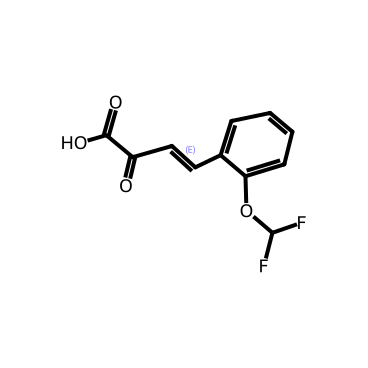 O=C(O)C(=O)/C=C/c1ccccc1OC(F)F